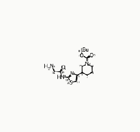 CC(C)(C)OC(=O)N1CCCC(c2csc(NC(=O)CN)n2)C1